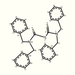 S=C(SC(=S)N(Cc1ccccc1)Cc1ccccc1)N(Cc1ccccc1)Cc1ccccc1